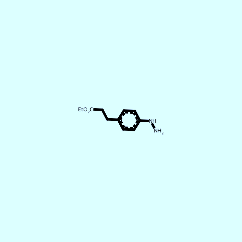 CCOC(=O)CCc1ccc(NN)cc1